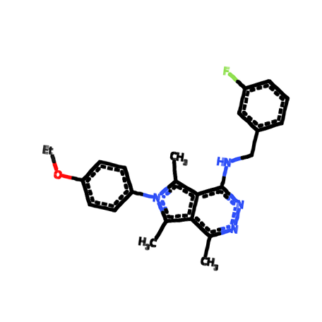 CCOc1ccc(-n2c(C)c3c(C)nnc(NCc4cccc(F)c4)c3c2C)cc1